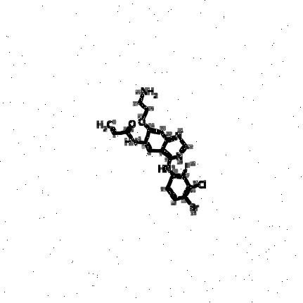 C=CC(=O)Nc1cc2c(Nc3ccc(Br)c(Cl)c3F)ncnc2cc1OCCN